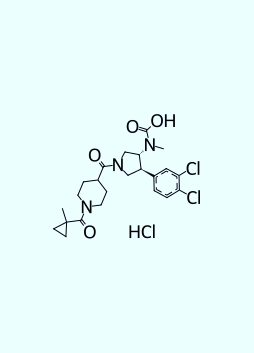 CN(C(=O)O)[C@H]1CN(C(=O)C2CCN(C(=O)C3(C)CC3)CC2)C[C@@H]1c1ccc(Cl)c(Cl)c1.Cl